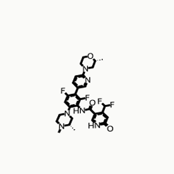 C[C@@H]1CN(c2ccc(-c3c(F)cc(N4CCN(C)[C@@H](C)C4)c(NC(=O)c4c[nH]c(=O)cc4C(F)F)c3F)cn2)CCO1